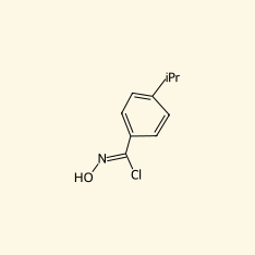 CC(C)c1ccc(C(Cl)=NO)cc1